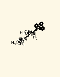 COC(=O)C(CCCCNC(=O)OC(C)(C)C)NC(=O)C(N)CCC(=O)NC(c1ccccc1)(c1ccccc1)c1ccccc1